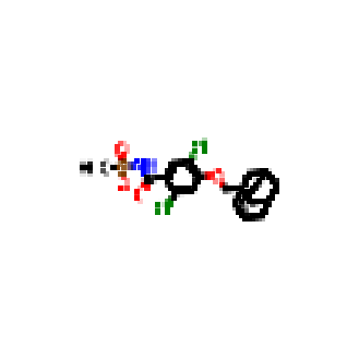 CS(=O)(=O)NC(=O)c1cc(Cl)c(OCC23CC4CC(CC(C4)C2)C3)cc1Cl